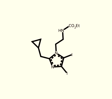 CCOC(=O)NCCn1c(CC2CC2)nc(I)c1I